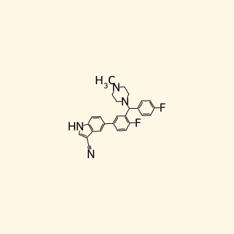 CN1CCN(C(c2ccc(F)cc2)c2cc(-c3ccc4[nH]cc(C#N)c4c3)ccc2F)CC1